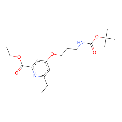 CCOC(=O)c1cc(OCCCNC(=O)OC(C)(C)C)cc(CC)n1